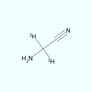 [2H]C([2H])(N)C#N